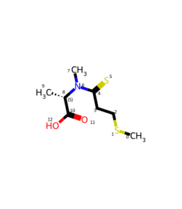 CSCCC(=S)N(C)[C@@H](C)C(=O)O